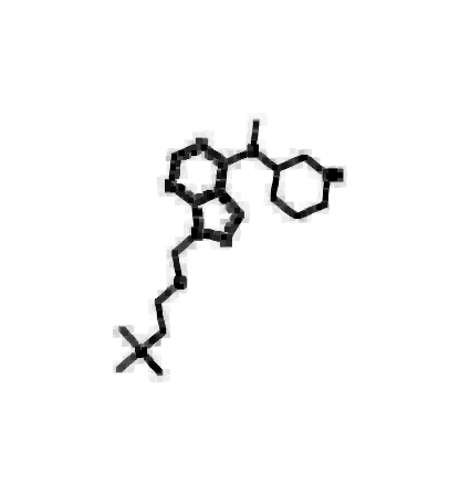 CN(c1ncnc2c1cnn2COCC[Si](C)(C)C)C1CCCNC1